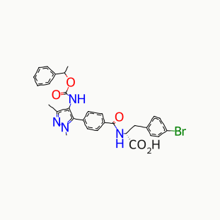 Cc1nn(C)c(-c2ccc(C(=O)N[C@H](Cc3ccc(Br)cc3)C(=O)O)cc2)c1NC(=O)OC(C)c1ccccc1